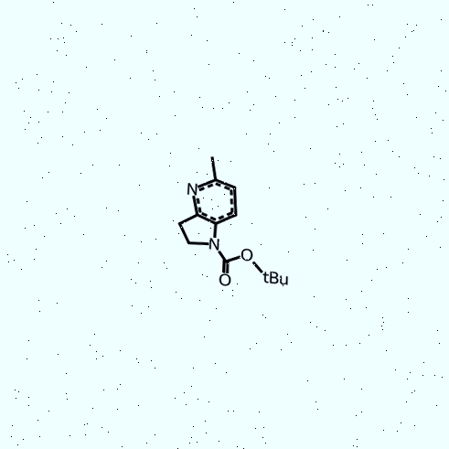 Cc1ccc2c(n1)CCN2C(=O)OC(C)(C)C